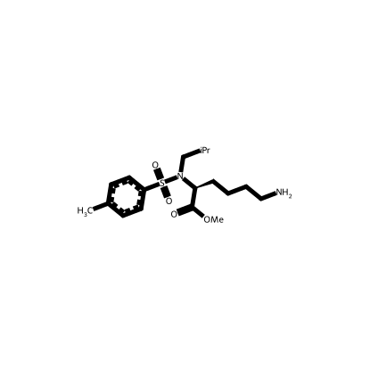 COC(=O)[C@H](CCCCN)N(CC(C)C)S(=O)(=O)c1ccc(C)cc1